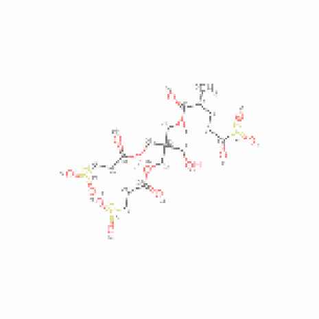 CC(CCC(=O)[SH](=O)=O)C(=O)OCC(CO)(COC(=O)CC[SH](=O)=O)COC(=O)CC[SH](=O)=O